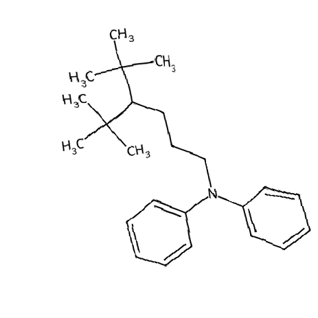 CC(C)(C)C(CCCN(c1ccccc1)c1ccccc1)C(C)(C)C